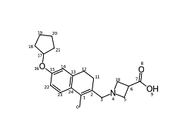 CC1=C(CN2CC(C(=O)O)C2)CCc2cc(OC3CCCC3)ccc21